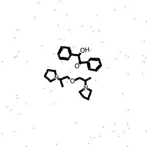 CC(COCC(C)N1CCCC1)N1CCCC1.O=C(c1ccccc1)C(O)c1ccccc1